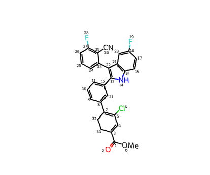 COC(=O)C1=CC(Cl)=C(c2cccc(-c3[nH]c4ccc(F)cc4c3-c3cccc(F)c3C#N)c2)CC1